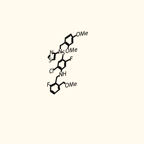 COCc1cccc(F)c1CNc1cc(F)c(SN(Cc2ccc(OC)cc2OC)c2cscn2)cc1Cl